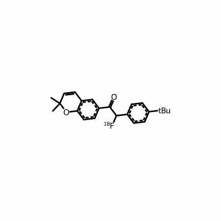 CC1(C)C=Cc2cc(C(=O)C([18F])c3ccc(C(C)(C)C)cc3)ccc2O1